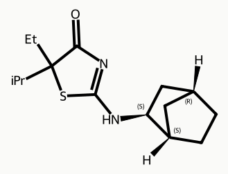 CCC1(C(C)C)SC(N[C@H]2C[C@@H]3CC[C@H]2C3)=NC1=O